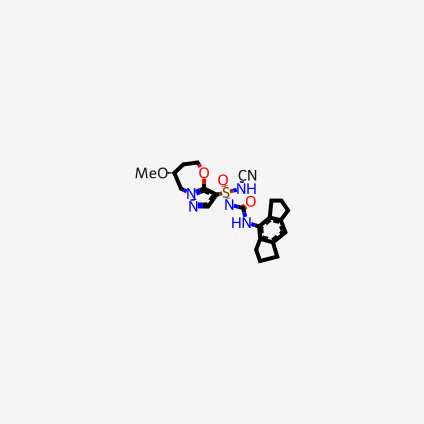 CO[C@@H]1CCOc2c(S(=O)(=NC(=O)Nc3c4c(cc5c3CCC5)CCC4)NC#N)cnn2C1